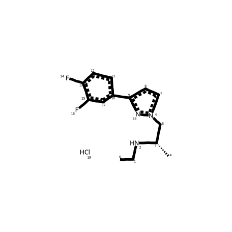 CCN[C@@H](C)Cn1ccc(-c2ccc(F)c(F)c2)n1.Cl